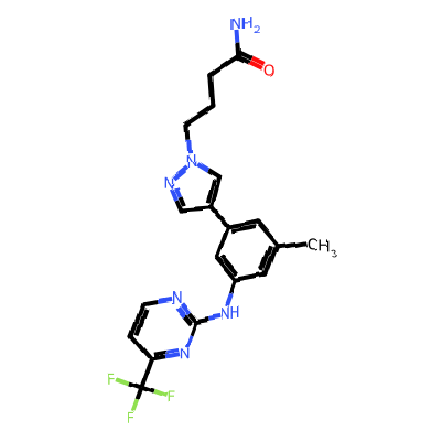 Cc1cc(Nc2nccc(C(F)(F)F)n2)cc(-c2cnn(CCCC(N)=O)c2)c1